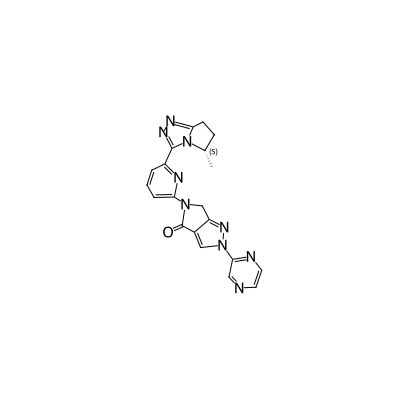 C[C@H]1CCc2nnc(-c3cccc(N4Cc5nn(-c6cnccn6)cc5C4=O)n3)n21